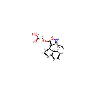 Cc1noc(OCC(=O)O)c1-c1cccc2ccccc12